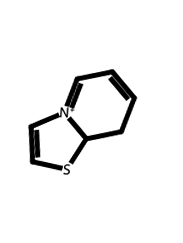 C1=CCC2SC=C[N+]2=C1